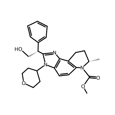 COC(=O)N1c2ccc3c(nc([C@H](CO)c4ccccc4)n3C3CCOCC3)c2CC[C@@H]1C